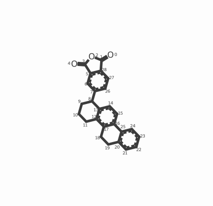 O=C1OC(=O)c2cc(C3CCCc4c3ccc3c4CCc4ccccc4-3)ccc21